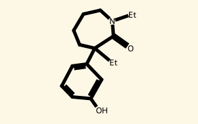 [CH2]CN1CCCCC(CC)(c2cccc(O)c2)C1=O